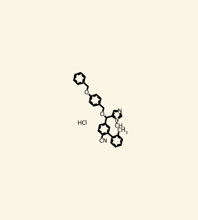 Cc1ccccc1-c1cc(C(OCc2ccc(OCc3ccccc3)cc2)c2cncn2C)ccc1C#N.Cl